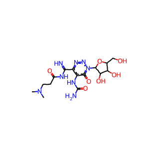 CN(C)CCC(=O)NC(=N)c1nnn(C2OC(CO)C(O)C2O)c(=O)c1NC(N)=O